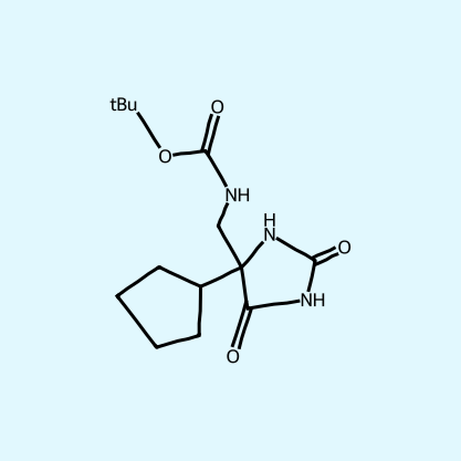 CC(C)(C)OC(=O)NCC1(C2CCCC2)NC(=O)NC1=O